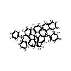 c1ccc(N(c2ccccc2)c2cccc3c2-c2ccccc2C32c3ccccc3-c3c(N(c4ccccc4)c4cccc5ccccc45)cc4ccccc4c32)cc1